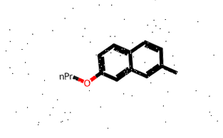 CCCOc1ccc2ccc(C)cc2c1